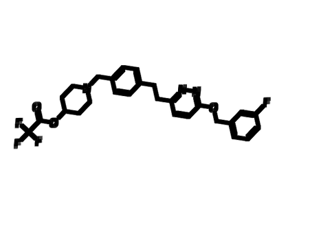 O=C(OC1CCN(Cc2ccc(CCc3ccc(OCc4cccc(F)c4)nn3)cc2)CC1)C(F)(F)F